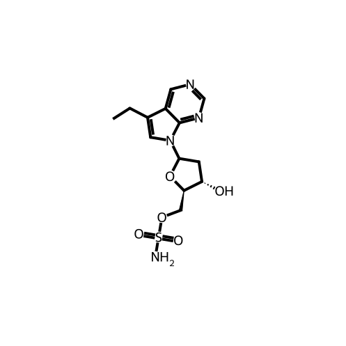 CCc1cn(C2C[C@H](O)[C@@H](COS(N)(=O)=O)O2)c2ncncc12